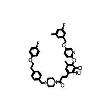 Cc1cc(F)cc(COc2ccc(Oc3c(C)cc(C=CC(=O)N4CCN(Cc5ccc(CCOc6ccc(F)cc6)cc5)CC4)cc3Cl)nc2)c1.Cl